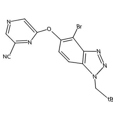 CC(C)(C)Cn1nnc2c(Br)c(Oc3cncc(C#N)n3)ccc21